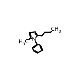 CCCCc1ccc(C)n1-c1ccccc1